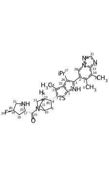 Cc1c(-c2[nH]c3sc([C@@H]4CC5C[C@H]4CN5C(=O)[C@@H]4C[C@@H](F)CN4)c(C)c3c2C(C)C)cn2ncnc2c1C